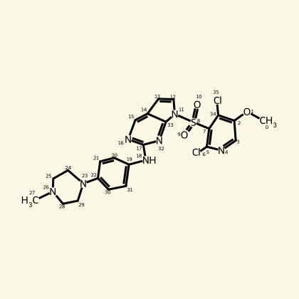 COc1cnc(Cl)c(S(=O)(=O)n2ccc3cnc(Nc4ccc(N5CCN(C)CC5)cc4)nc32)c1Cl